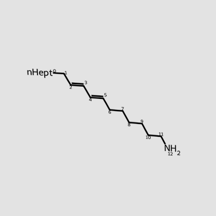 CCCCCCCCC=CC=CCCCCCCN